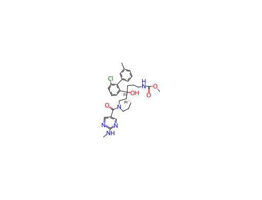 CNc1ncc(C(=O)N2CCC[C@@H]([C@@](O)(CCCNC(=O)OC)c3cccc(Cl)c3-c3cccc(C)c3)C2)cn1